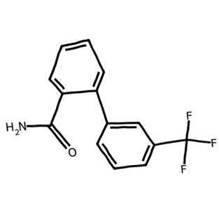 NC(=O)c1ccccc1-c1cccc(C(F)(F)F)c1